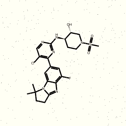 CC1(C)CCc2nc3c(F)cc(-c4nc(N[C@@H]5CCN(S(C)(=O)=O)C[C@H]5O)ncc4Cl)cc3n21